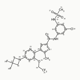 Cc1sc(C(=O)Nc2cc(Cl)cc(NS(C)(=O)=O)c2)cc1-c1ncc(N2CC(F)(F)C2)cc1OCC(F)(F)F